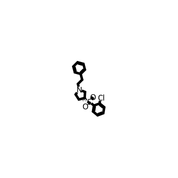 O=S(=O)(c1ccccc1Cl)[C@@H]1CCN(CCc2ccccc2)C1